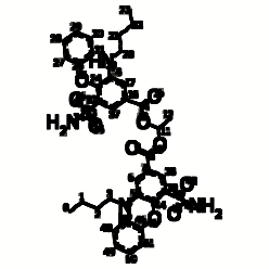 CCCCNc1cc(C(=O)OC(C)OC(=O)c2cc(NCCCC)c(Oc3ccccc3)c(S(N)(=O)=O)c2)cc(S(N)(=O)=O)c1Oc1ccccc1